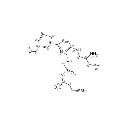 CSCC[C@H](NC(=O)COc1nc(-c2cccc(CO)c2)ccc1NCC(N)CS)C(=O)O